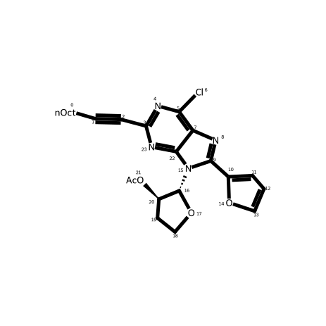 CCCCCCCCC#Cc1nc(Cl)c2nc(-c3ccco3)n([C@@H]3OCC[C@H]3OC(C)=O)c2n1